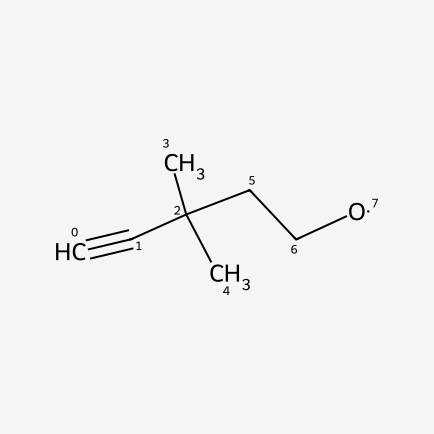 C#CC(C)(C)CC[O]